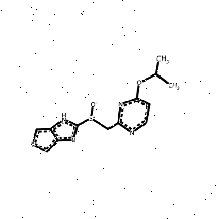 CC(C)Oc1ccnc(C[S+]([O-])c2nc3cscc3[nH]2)n1